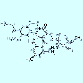 CCOc1cc2c(cc1OC)-c1c/c(=N\c3c(C)cc(C)cc3C)n(CCN(F)/C(N)=C(/N)C(=O)OC)c(=O)n1CC2